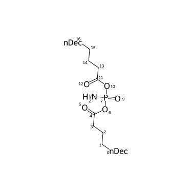 CCCCCCCCCCCCCC(=O)OP(N)(=O)OC(=O)CCCCCCCCCCCCC